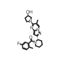 Cc1ccc(F)cc1C(=O)N1CCCC[C@H]1c1cc2nc(N3CC[C@@H](O)C3)c(C)cn2n1